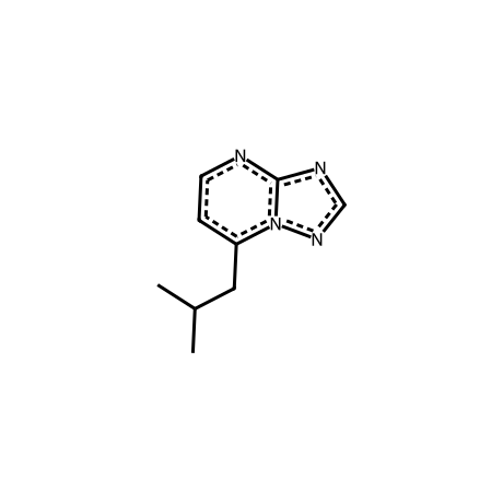 CC(C)Cc1ccnc2ncnn12